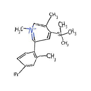 Cc1cc(C(C)C)ccc1-c1cc([Si](C)(C)C)c(C)c[n+]1C